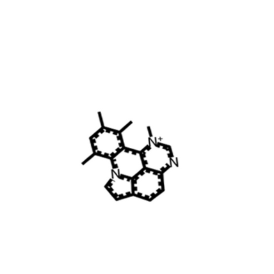 Cc1cc(C)c2c(c1C)c1c3c(ccc4ccn2c43)nc[n+]1C